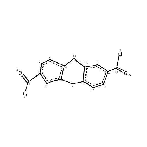 O=C(Cl)c1ccc2c(c1)Cc1ccc(C(=O)Cl)cc1C2